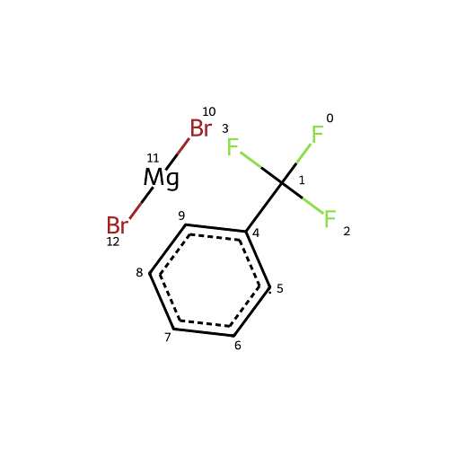 FC(F)(F)c1[c]cccc1.[Br][Mg][Br]